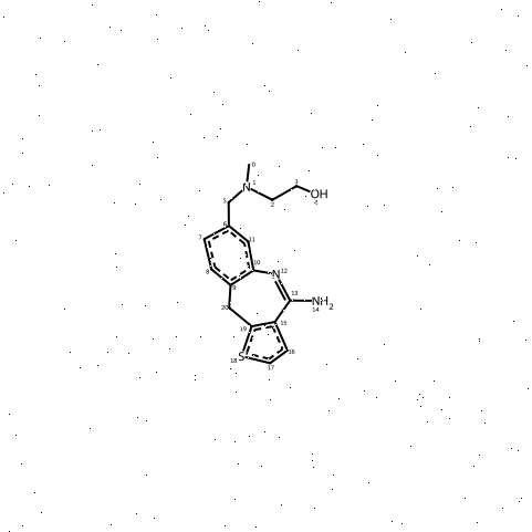 CN(CCO)Cc1ccc2c(c1)N=C(N)c1ccsc1C2